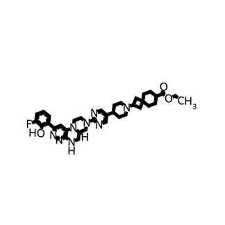 CCOC(=O)C1CCC2(CC1)CC(N1CCC(c3cnc(N4CCN5c6cc(-c7cccc(F)c7O)nnc6NC[C@H]5C4)nc3)CC1)C2